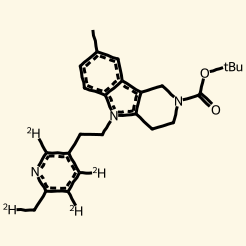 [2H]Cc1nc([2H])c(CCn2c3c(c4cc(C)ccc42)CN(C(=O)OC(C)(C)C)CC3)c([2H])c1[2H]